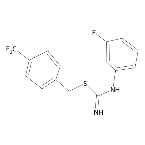 N=C(Nc1cccc(F)c1)SCc1ccc(C(F)(F)F)cc1